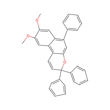 COc1cc2c(-c3ccccc3)cc3c(c2cc1OC)C=CC(c1ccccc1)(c1ccccc1)O3